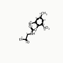 CCC(=O)CNC(=O)Oc1c(Br)cc(C)cc1[N+](=O)[O-]